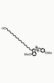 COc1ccc(CS(=O)(=O)n2cc(CCCCCCCCCCCCCCCCCCO)c3c(OC)cccc32)cc1